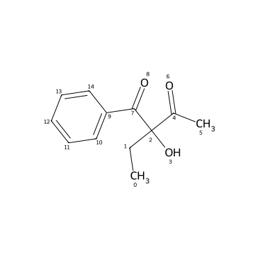 CCC(O)(C(C)=O)C(=O)c1ccccc1